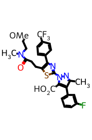 COCCN(C)C(=O)CCc1sc(-n2nc(C)c(-c3cccc(F)c3)c2C(=O)O)nc1-c1ccc(C(F)(F)F)cc1